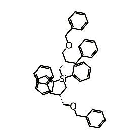 c1ccc(COC[C@H](Cc2ccccc2)C[Si](C[C@H](COCc2ccccc2)Cc2ccccc2)(c2ccccc2)c2ccccc2)cc1